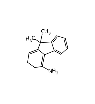 CC1(C)C2=CCCC(N)=C2c2ccccc21